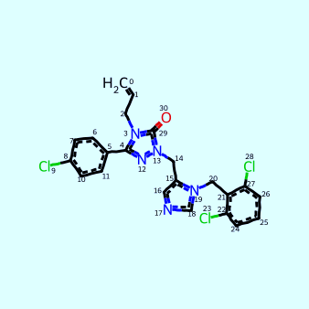 C=CCn1c(-c2ccc(Cl)cc2)nn(Cc2cncn2Cc2c(Cl)cccc2Cl)c1=O